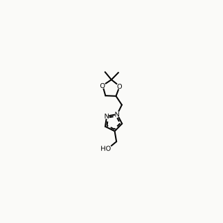 CC1(C)OCC(Cn2cc(CO)cn2)O1